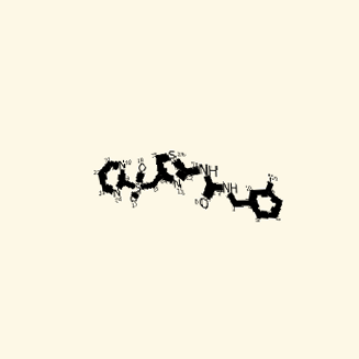 O=C(NCc1cccc(F)c1)Nc1nc(CS(=O)(=O)c2ncccn2)cs1